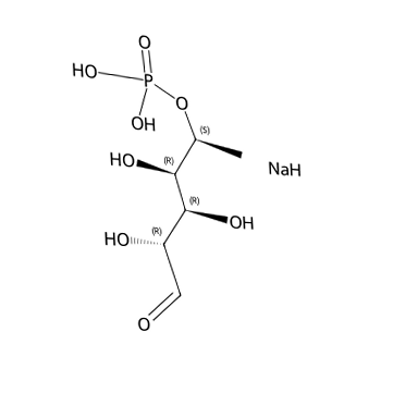 C[C@H](OP(=O)(O)O)[C@H](O)[C@@H](O)[C@@H](O)C=O.[NaH]